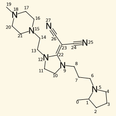 CC1CCCN1CCCN1CCN(CCN2CCN(C)CC2)C1=C(C#N)C#N